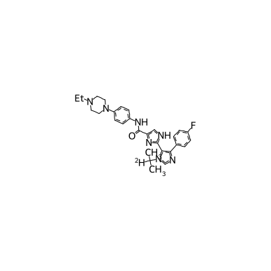 [2H]C(C)(C)n1cnc(-c2ccc(F)cc2)c1-c1nc(C(=O)Nc2ccc(N3CCN(CC)CC3)cc2)c[nH]1